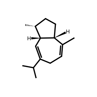 CC1=CCC(C(C)C)=C[C@@H]2[C@H](C)CC[C@H]12